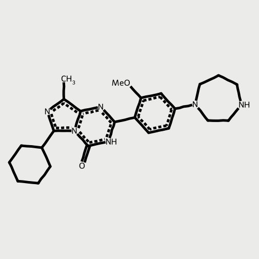 COc1cc(N2CCCNCC2)ccc1-c1nc2c(C)nc(C3CCCCC3)n2c(=O)[nH]1